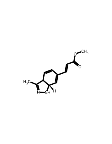 COC(=O)/C=C/C1=C[C@@H]2NN=C(C)C2C=C1